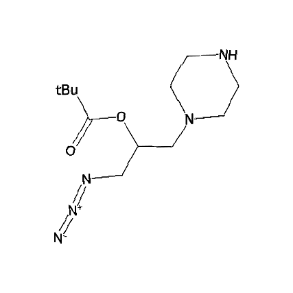 CC(C)(C)C(=O)OC(CN=[N+]=[N-])CN1CCNCC1